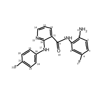 Nc1ccc(F)cc1NC(=O)c1cccnc1Nc1ccc(F)cc1